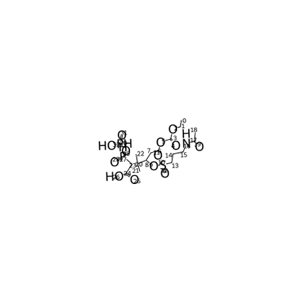 CCOC(=O)OCCC(OS(=O)(=O)CCCNC(C)=O)C(C)(C)[C@H](C(=O)O)[PH](=O)O[PH](=O)O